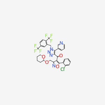 O=C(c1nnn(Cc2cc(C(F)(F)F)ccc2C(F)(F)F)c1-c1cccnc1)c1c(COC2CCCCO2)noc1-c1ccccc1Cl